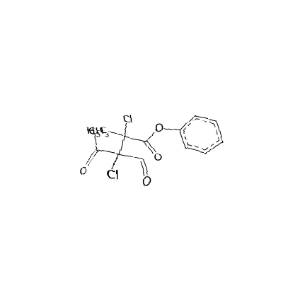 CC(=O)C(Cl)(C=O)C(C)(Cl)C(=O)Oc1ccccc1